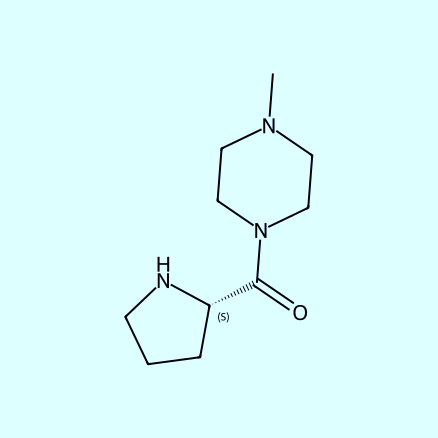 CN1CCN(C(=O)[C@@H]2CCCN2)CC1